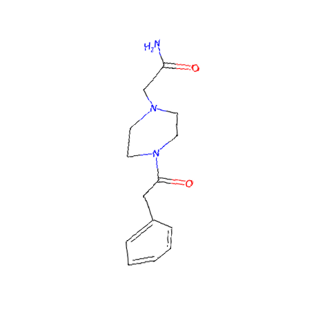 NC(=O)CN1CCN(C(=O)Cc2ccccc2)CC1